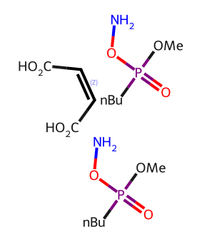 CCCCP(=O)(OC)ON.CCCCP(=O)(OC)ON.O=C(O)/C=C\C(=O)O